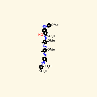 COc1ccc(Nc2ccc3c(O)c(N=Nc4cc(C)c(N=Nc5cc(C)c(N=Nc6ccc(N=Nc7ccc(S(=O)(=O)O)cc7S(=O)(=O)O)c(C)c6)cc5OC)cc4OC)c(S(=O)(=O)O)cc3c2)cc1